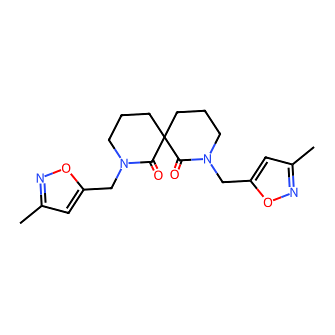 Cc1cc(CN2CCCC3(CCCN(Cc4cc(C)no4)C3=O)C2=O)on1